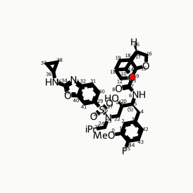 COc1cc(C[C@H](NC(=O)OC2C3COC4OC[C@H]2C4C3)[C@H](O)CN(CC(C)C)S(=O)(=O)c2ccc3nc(NC4CC4)oc3c2)ccc1F